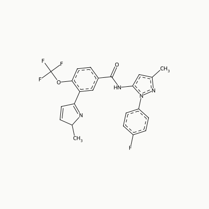 Cc1cc(NC(=O)c2ccc(OC(F)(F)F)c(C3=NC(C)C=C3)c2)n(-c2ccc(F)cc2)n1